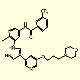 Cc1ccc(NC(=O)c2cccc(C(F)(F)F)c2)cc1N/C=C(\C=N)c1cncc(OCCCN2CCOCC2)c1